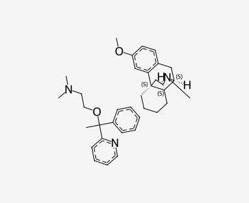 CN(C)CCOC(C)(c1ccccc1)c1ccccn1.COc1ccc2c(c1)[C@]13CCCC[C@@H]1[C@H](C2)N(C)CC3